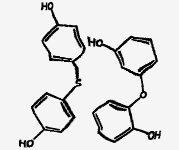 Oc1ccc(Sc2ccc(O)cc2)cc1.Oc1cccc(Oc2ccccc2O)c1